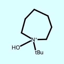 CC(C)(C)[N+]1(O)CCCCCC1